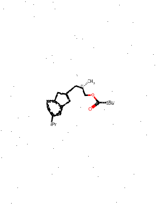 CC(C)c1ccc2c(c1)CC(C[C@H](C)COC(=O)C(C)(C)C)C2